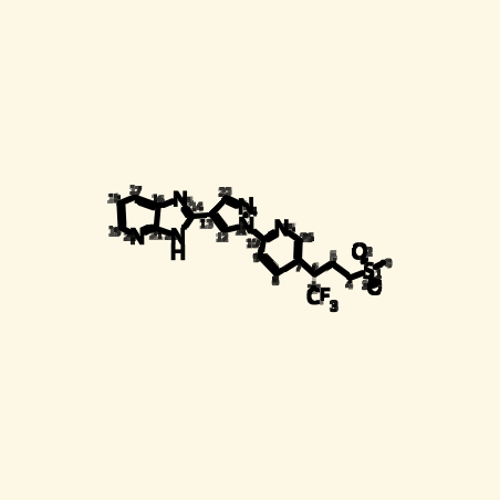 CS(=O)(=O)CC[C@@H](c1ccc(-n2cc(-c3nc4cccnc4[nH]3)cn2)nc1)C(F)(F)F